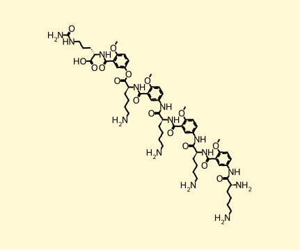 COc1ccc(OC(=O)[C@H](CCCCN)NC(=O)c2cc(NC(=O)[C@H](CCCCN)NC(=O)c3cc(NC(=O)[C@H](CCCCN)NC(=O)c4cc(NC(=O)[C@@H](N)CCCCN)ccc4OC)ccc3OC)ccc2OC)cc1C(=O)N[C@@H](CCCNC(N)=O)C(=O)O